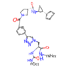 CCCCCCCCNC(=O)N[C@@H](Cn1cc(-c2ccc(C(=O)N3CC[C@H](C(=O)N[C@H]4C[C@@H]4c4ccccc4)C3)cc2)nn1)C(=O)NCCCCCC